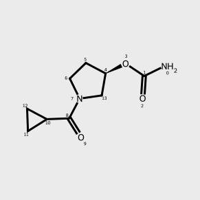 NC(=O)O[C@@H]1CCN(C(=O)C2CC2)C1